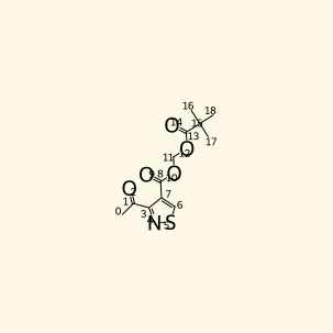 CC(=O)c1nscc1C(=O)OCOC(=O)C(C)(C)C